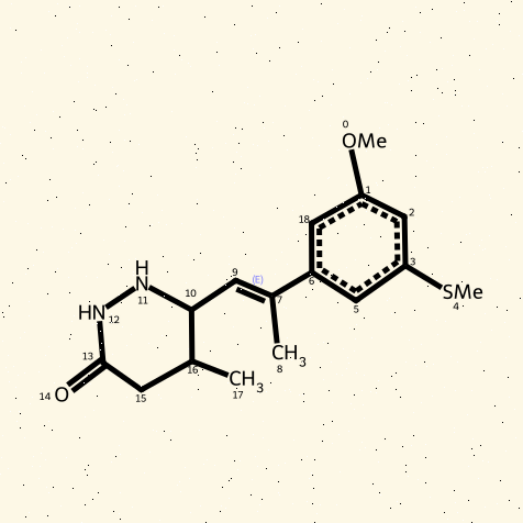 COc1cc(SC)cc(/C(C)=C/C2NNC(=O)CC2C)c1